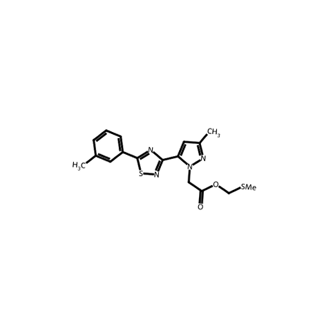 CSCOC(=O)Cn1nc(C)cc1-c1nsc(-c2cccc(C)c2)n1